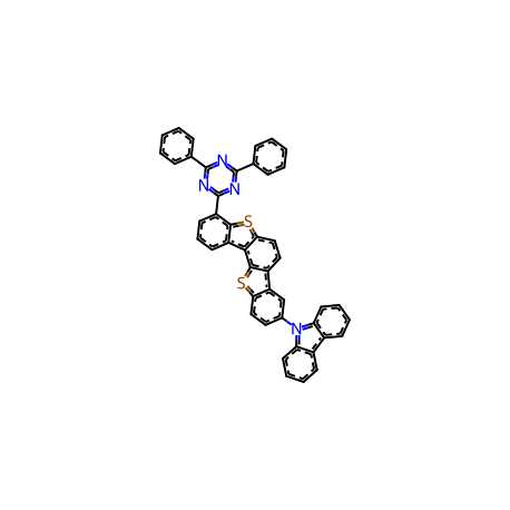 c1ccc(-c2nc(-c3ccccc3)nc(-c3cccc4c3sc3ccc5c6cc(-n7c8ccccc8c8ccccc87)ccc6sc5c34)n2)cc1